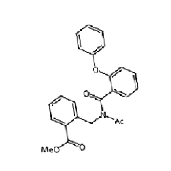 COC(=O)c1ccccc1CN(C(C)=O)C(=O)c1ccccc1Oc1ccccc1